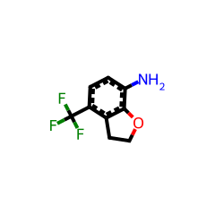 Nc1ccc(C(F)(F)F)c2c1OCC2